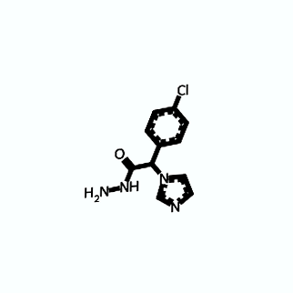 NNC(=O)C(c1ccc(Cl)cc1)n1ccnc1